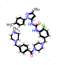 Cc1ccc(-n2nc(C(C)(C)C)cc2NC(=O)Nc2cc(CN3CCN(C(=O)c4ccc(CN5CCN(C)CC5)cc4)CC3)ccc2Cl)cc1